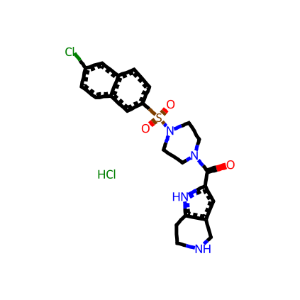 Cl.O=C(c1cc2c([nH]1)CCNC2)N1CCN(S(=O)(=O)c2ccc3cc(Cl)ccc3c2)CC1